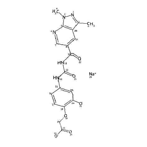 Cc1nn(C)c2ncc(C(=O)NC(=O)Nc3ccc(OCC(=O)[O-])c(Cl)c3)cc12.[Na+]